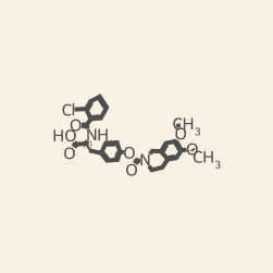 COc1cc2c(cc1OC)CN(C(=O)Oc1ccc(C[C@H](NC(=O)c3ccccc3Cl)C(=O)O)cc1)CC2